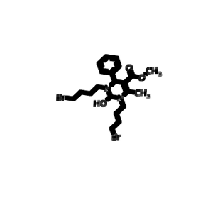 COC(=O)C1=C(C)N(CCCCBr)C(O)N(CCCCBr)C1c1ccccc1